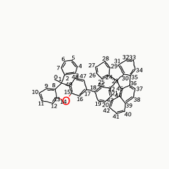 CC1(c2ccccc2)c2ccccc2Oc2cc(-c3cccc(C4(c5ccccc5)c5ccccc5-c5ccc6ccccc6c54)c3)ccc21